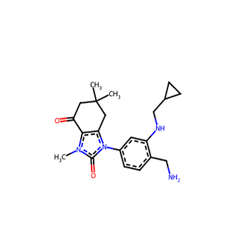 Cn1c2c(n(-c3ccc(CN)c(NCC4CC4)c3)c1=O)CC(C)(C)CC2=O